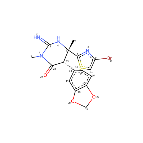 CN1C(=N)N[C@](C)(c2nc(Br)cs2)[C@H](c2ccc3c(c2)OCO3)C1=O